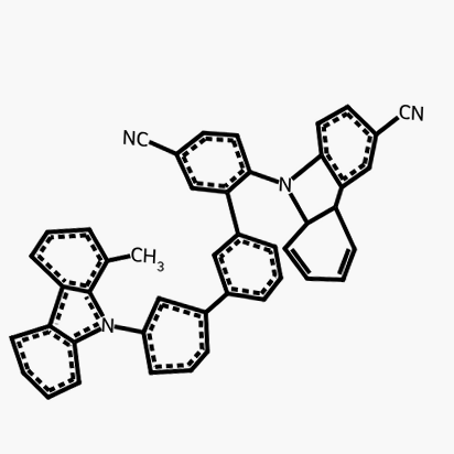 Cc1cccc2c3ccccc3n(-c3cccc(-c4cccc(-c5cc(C#N)ccc5N5c6ccc(C#N)cc6C6C=CC=CC65)c4)c3)c12